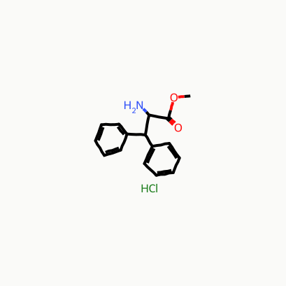 COC(=O)C(N)C(c1ccccc1)c1ccccc1.Cl